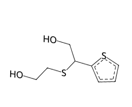 OCCSC(CO)c1cccs1